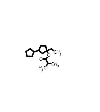 CCC1(OC(=O)C(C)C)CCC(C2CCCC2)C1